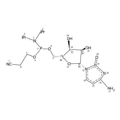 CC(C)N(C(C)C)P(OCCC#N)OC[C@H]1O[C@@H](n2ccc(N)nc2=O)[C@H](O)[C@@H]1O